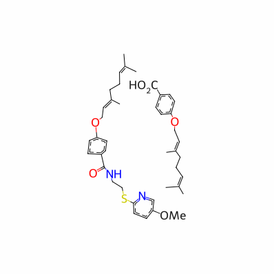 CC(C)=CCC/C(C)=C/COc1ccc(C(=O)O)cc1.COc1ccc(SCCNC(=O)c2ccc(OC/C=C(\C)CCC=C(C)C)cc2)nc1